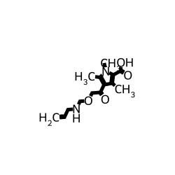 C=CCNCOCC(=O)c1c(C)c(C(=O)O)n(C)c1C